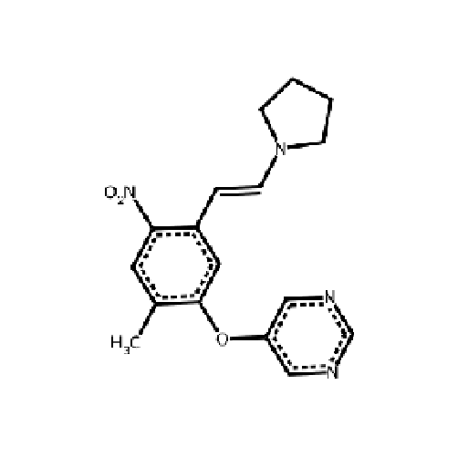 Cc1cc([N+](=O)[O-])c(C=CN2CCCC2)cc1Oc1cncnc1